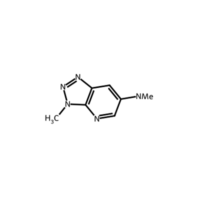 CNc1cnc2c(c1)nnn2C